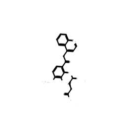 COc1ccc(C(=O)Cc2ccnc3ccccc23)c(OC(C)CCC(N)=O)c1OC